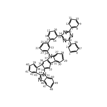 c1ccc(-c2nc(-c3ccccc3)nc(-c3cccc(-c4cccc(-n5c6ccccc6c6cc7c(cc65)c5ccccc5c5nc6ccccc6n75)c4)c3)n2)cc1